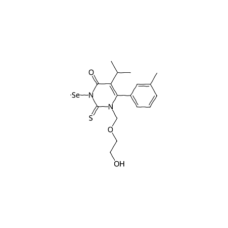 Cc1cccc(-c2c(C(C)C)c(=O)n([Se])c(=S)n2COCCO)c1